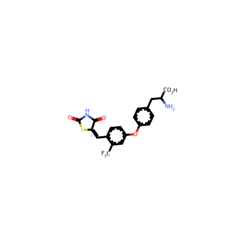 NC(Cc1ccc(Oc2ccc(/C=C3/SC(=O)NC3=O)c(C(F)(F)F)c2)cc1)C(=O)O